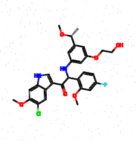 COc1cc2[nH]cc(C(=O)C(Nc3cc(OCCO)cc([C@@H](C)OC)c3)c3ccc(F)cc3OC)c2cc1Cl